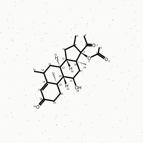 CC(=O)O[C@]1(C(C)=O)C(C)C[C@H]2[C@@H]3CC(C)C4=CC(=O)CC[C@]4(C)[C@H]3C(O)C[C@@]21C